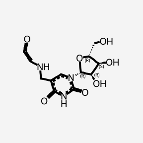 O=C=CNCc1cn([C@@H]2O[C@H](CO)[C@@H](O)[C@H]2O)c(=O)[nH]c1=O